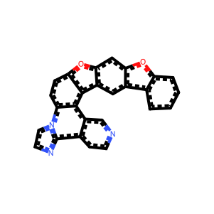 c1ccc2c(c1)oc1cc3oc4ccc5c(c6cnccc6c6nccn56)c4c3cc12